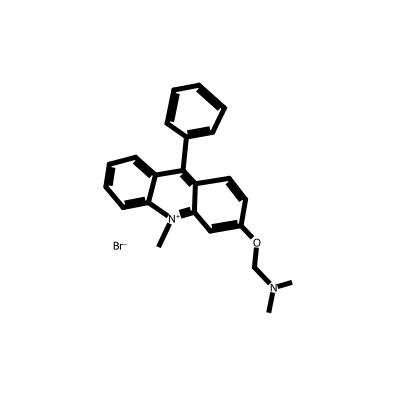 CN(C)COc1ccc2c(-c3ccccc3)c3ccccc3[n+](C)c2c1.[Br-]